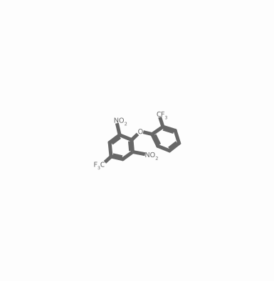 O=[N+]([O-])c1cc(C(F)(F)F)cc([N+](=O)[O-])c1Oc1ccccc1C(F)(F)F